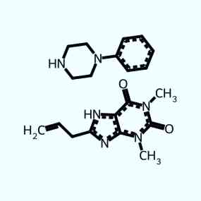 C=CCc1nc2c([nH]1)c(=O)n(C)c(=O)n2C.c1ccc(N2CCNCC2)cc1